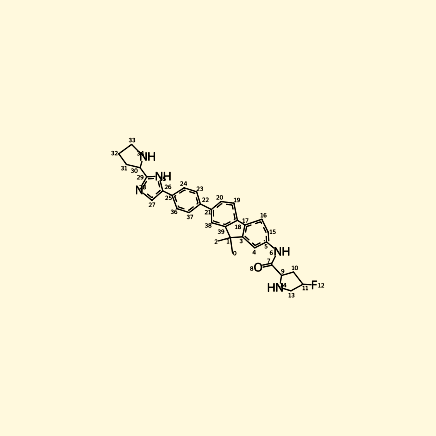 CC1(C)c2cc(NC(=O)C3CC(F)CN3)ccc2-c2ccc(-c3ccc(-c4cnc(C5CCCN5)[nH]4)cc3)cc21